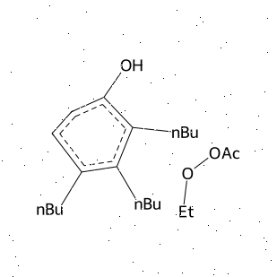 CCCCc1ccc(O)c(CCCC)c1CCCC.CCOOC(C)=O